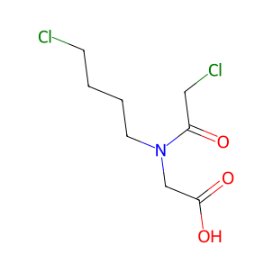 O=C(O)CN(CCCCCl)C(=O)CCl